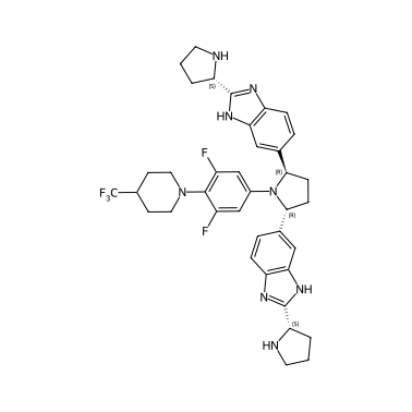 Fc1cc(N2[C@@H](c3ccc4nc([C@@H]5CCCN5)[nH]c4c3)CC[C@@H]2c2ccc3nc([C@@H]4CCCN4)[nH]c3c2)cc(F)c1N1CCC(C(F)(F)F)CC1